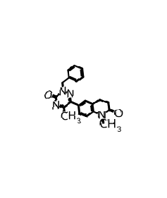 Cc1nc(=O)n(Cc2ccccc2)nc1-c1ccc2c(c1)CCC(=O)N2C